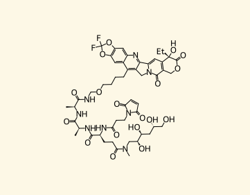 CC[C@@]1(O)C(=O)OCc2c1cc1n(c2=O)Cc2c-1nc1cc3c(cc1c2CCCCOCNC(=O)[C@H](C)NC(=O)[C@H](C)NC(=O)[C@H](CCC(=O)N(C)C[C@H](O)[C@@H](O)C[C@H](O)CO)NC(=O)CCN1C(=O)C=CC1=O)OC(F)(F)O3